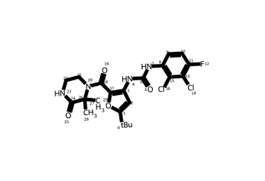 CC(C)(C)c1cc(NC(=O)Nc2ccc(F)c(Cl)c2Cl)c(C(=O)N2CCNC(=O)C2(C)C)o1